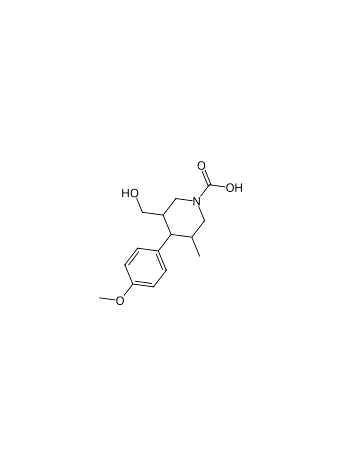 COc1ccc(C2C(C)CN(C(=O)O)CC2CO)cc1